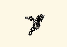 Clc1ccc(CSCC(Cn2ccnc2)OCc2ccc(Cl)cc2Cl)cc1.O=C(O)C(=O)O